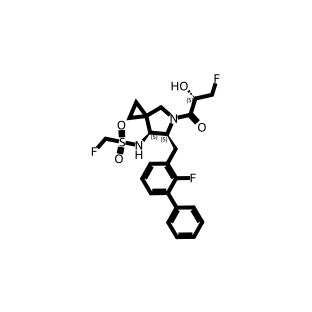 O=C([C@H](O)CF)N1CC2(CC2)[C@H](NS(=O)(=O)CF)[C@@H]1Cc1cccc(-c2ccccc2)c1F